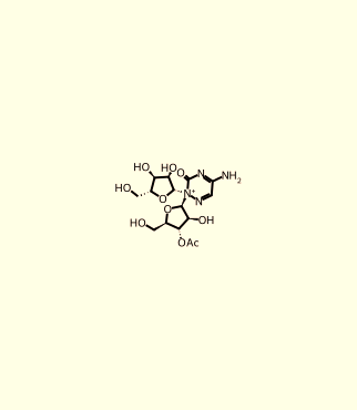 CC(=O)O[C@H]1[C@H](O)[C@H]([N+]2([C@@H]3O[C@H](CO)[C@@H](O)[C@H]3O)N=CC(N)=NC2=O)O[C@@H]1CO